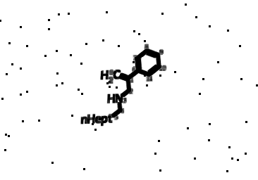 C=C(CNCCCCCCCC)c1ccccc1